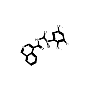 CCC(NC(=O)c1cncc2ccccc12)N(CC)c1cc(C)cc(Cl)c1C